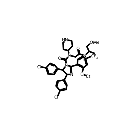 CCOc1cc(C(F)(F)F)ccc1C1=NC(c2ccc(Cl)cc2)C(c2ccc(Cl)cc2)N1C(=O)N(CC(=O)NC(C)COC)C1CCNCC1